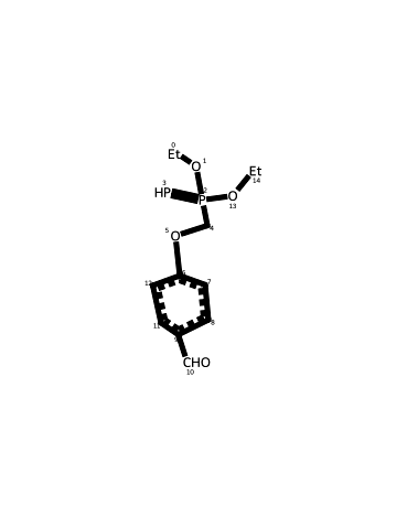 CCOP(=P)(COc1ccc(C=O)cc1)OCC